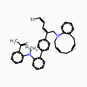 C=C(C)c1ccccc1N(C)c1ccccc1-c1ccc(/C(=C/C=C\CC)CN2C/C=C\C/C=C\Cc3ccccc32)cc1